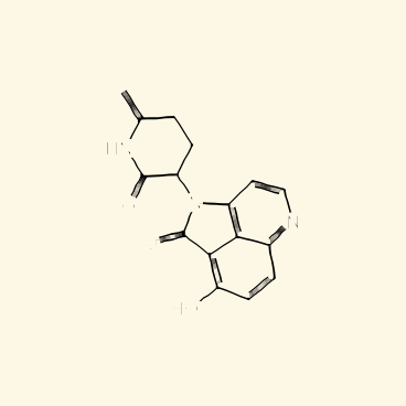 C=C1CCC(N2C(=O)c3c(O)ccc4nccc2c34)C(=O)N1